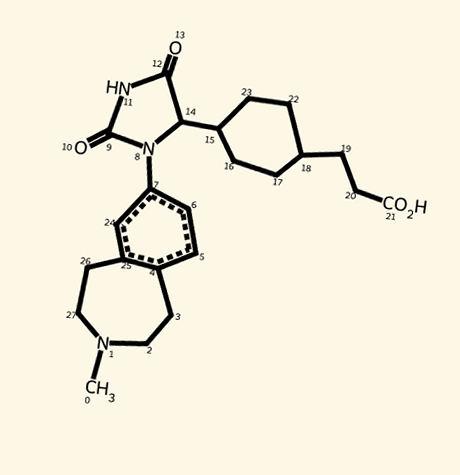 CN1CCc2ccc(N3C(=O)NC(=O)C3C3CCC(CCC(=O)O)CC3)cc2CC1